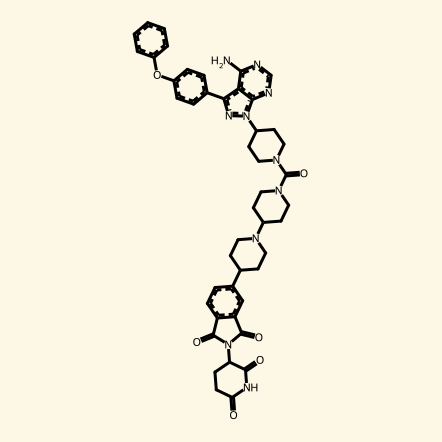 Nc1ncnc2c1c(-c1ccc(Oc3ccccc3)cc1)nn2C1CCN(C(=O)N2CCC(N3CCC(c4ccc5c(c4)C(=O)N(C4CCC(=O)NC4=O)C5=O)CC3)CC2)CC1